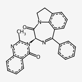 Cc1nc2ccccc2c(=O)n1[C@@H]1N=C(c2ccccc2)c2cccc3c2N(CC3)C1=O